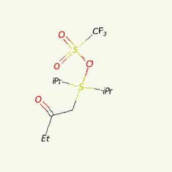 CCC(=O)CS(OS(=O)(=O)C(F)(F)F)(C(C)C)C(C)C